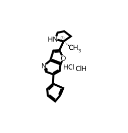 C[C@@]1(c2cc3ncc(-c4ccccc4)cc3o2)CCCN1.Cl.Cl